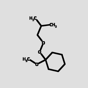 COC1(OOCC(C)C)CCCCC1